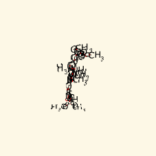 COC(=O)[C@H](Cc1ccc(OC(COC(C)=O)COS(=O)(=O)c2ccc(C)cc2)cc1)NC(=O)[C@H](C(C)C)n1cc(COc2ccc3nc(S(=O)(=O)NC(c4ccccc4)(c4ccc(OC)cc4)c4ccc(OC)cc4)sc3c2)nn1